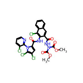 COC(=O)N(NC(=O)c1cc2ccccc2c(Cl)c1NC(=O)c1cc(Cl)c(Cl)n1-c1ncccc1Cl)C(=O)OC